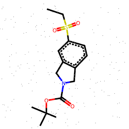 CCS(=O)(=O)c1ccc2c(c1)CN(C(=O)OC(C)(C)C)C2